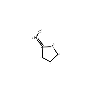 ClN=C1CCCS1